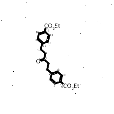 CCOC(=O)c1ccc(CCC(=O)CCc2ccc(C(=O)OCC)cc2)cc1